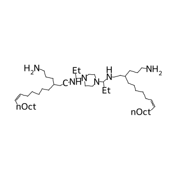 CCCCCCCC/C=C\CCCCCC(CCCN)CCNC(CC)N1CCN(C(CC)NCCC(CCCN)CCCCC/C=C\CCCCCCCC)CC1